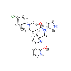 CCOc1ncccc1-c1ccc2c(n1)CN([C@@H]1CCNC1)C(=O)C21CCN(c2ccc(Cl)cc2C(F)(F)F)CC1